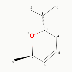 CC(C)[C@@H]1CC=C[C@@H](C)O1